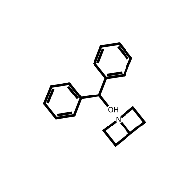 C1CN2CCC12.OC(c1ccccc1)c1ccccc1